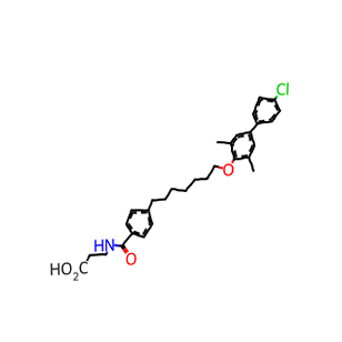 Cc1cc(-c2ccc(Cl)cc2)cc(C)c1OCCCCCCCc1ccc(C(=O)NCCC(=O)O)cc1